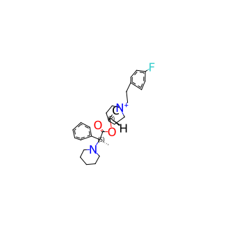 C[C@@](C(=O)O[C@H]1C[N+]2(CCc3ccc(F)cc3)CCC1CC2)(c1ccccc1)N1CCCCC1